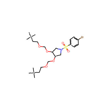 C[Si](C)(C)CCOCOC1CN(S(=O)(=O)c2ccc(Br)cc2)CC1OCOCC[Si](C)(C)C